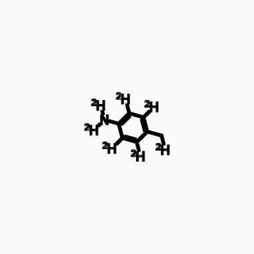 [2H]Cc1c([2H])c([2H])c(N([2H])[2H])c([2H])c1[2H]